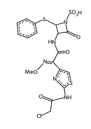 CON=C(C(=O)NC1C(=O)N(S(=O)(=O)O)C1Sc1ccccc1)c1csc(NC(=O)CCl)n1